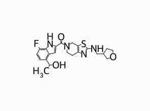 CC(O)c1ccc(F)c2[nH]c(C(=O)N3CCc4nc(NCC5CCOC5)sc4C3)cc12